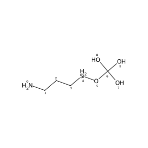 NCCC[SiH2]OC(O)(O)O